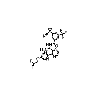 CC(NC(=O)c1cc(C(F)(F)F)cc(C2(C#N)CC2)c1)c1nccnc1-c1ncc(OCC(F)F)cn1